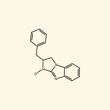 [O-][S+]1c2nc3ccccc3n2CN1Cc1ccccc1